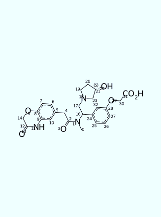 CN(C(=O)Cc1ccc2c(c1)NC(=O)CO2)C(CN1CC[C@H](O)C1)c1cccc(OCC(=O)O)c1